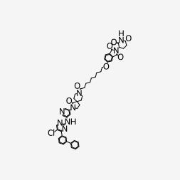 O=C1CCC(N2C(=O)c3ccc(OCCCCCCCCC(=O)N4CCC5(CC4)CCN(c4cncc(Nc6ncc(Cl)c(-c7cccc(-c8ccccc8)c7)n6)c4)C5=O)cc3C2=O)C(=O)N1